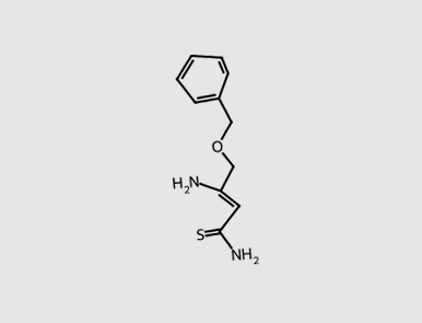 NC(=S)C=C(N)COCc1ccccc1